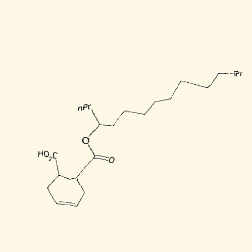 CCCC(CCCCCCCCC(C)C)OC(=O)C1CC=CCC1C(=O)O